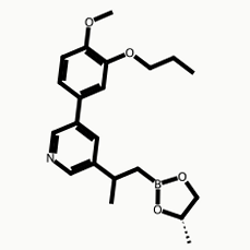 CCCOc1cc(-c2cncc(C(C)CB3OC[C@H](C)O3)c2)ccc1OC